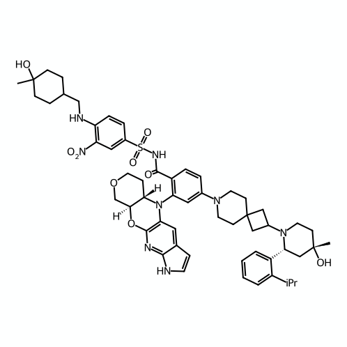 CC(C)c1ccccc1[C@H]1C[C@@](C)(O)CCN1C1CC2(CCN(c3ccc(C(=O)NS(=O)(=O)c4ccc(NCC5CCC(C)(O)CC5)c([N+](=O)[O-])c4)c(N4c5cc6cc[nH]c6nc5O[C@H]5COCC[C@@H]54)c3)CC2)C1